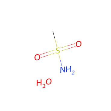 CS(N)(=O)=O.O